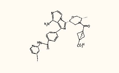 Cc1ccnc(NC(=O)c2ccc(-c3nc([C@H]4CN(C(=O)C56CC(C(=O)O)(C5)C6)[C@@H](C)CO4)n4ccnc(N)c34)cc2)c1